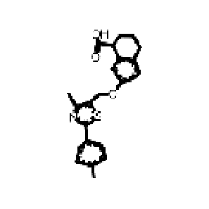 Cc1ccc(-c2nc(C)c(COc3ccc4c(c3)C(C(=O)O)CCC4)s2)cc1